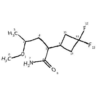 COC(C)CC(C(N)=O)C1CC(F)(F)C1